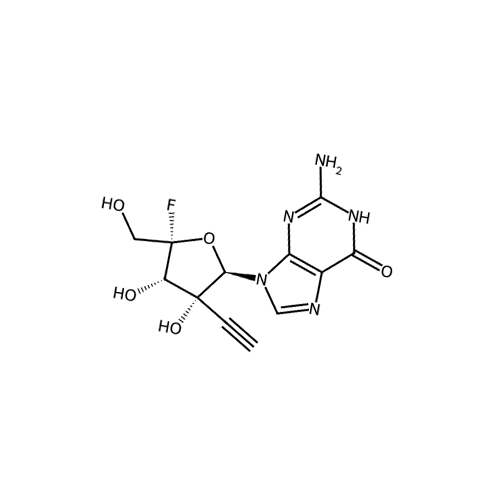 C#C[C@]1(O)[C@H](n2cnc3c(=O)[nH]c(N)nc32)O[C@](F)(CO)[C@H]1O